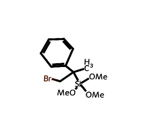 CO[Si](OC)(OC)C(C)(CBr)c1ccccc1